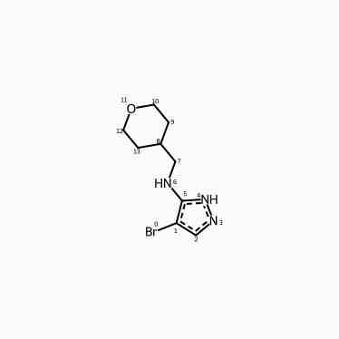 Brc1cn[nH]c1NCC1CCOCC1